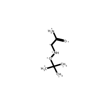 CC(C)(C)ONCC(N)=O